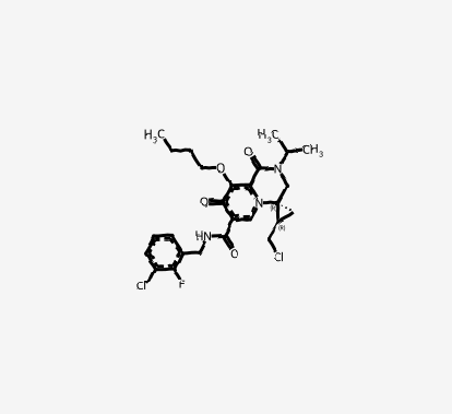 CCCCOc1c2n(cc(C(=O)NCc3cccc(Cl)c3F)c1=O)[C@@]1(C[C@H]1CCl)CN(C(C)C)C2=O